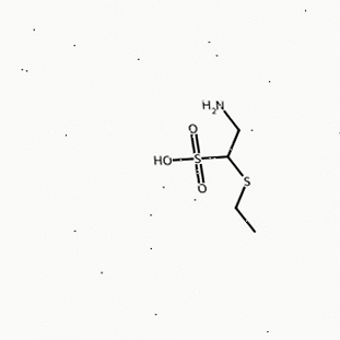 CCSC(CN)S(=O)(=O)O